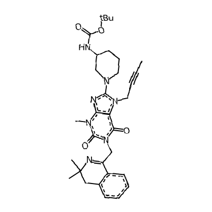 CC#CCn1c(N2CCCC(NC(=O)OC(C)(C)C)C2)nc2c1c(=O)n(CC1=NC(C)(C)Cc3ccccc31)c(=O)n2C